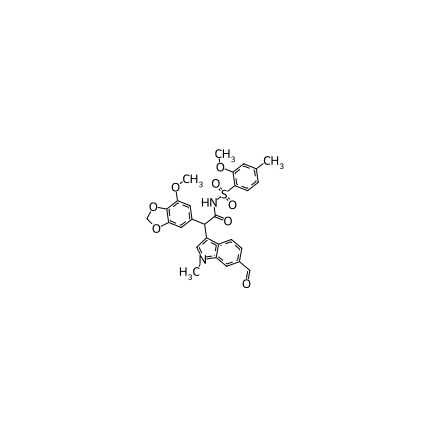 COc1cc(C)ccc1S(=O)(=O)NC(=O)C(c1cc(OC)c2c(c1)OCO2)c1cn(C)c2cc(C=O)ccc12